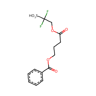 O=C(CCCOC(=O)c1ccccc1)OCC(F)(F)S(=O)(=O)O